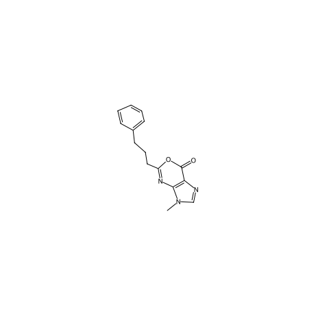 Cn1cnc2c(=O)oc(CCCc3ccccc3)nc21